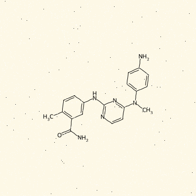 Cc1ccc(Nc2nccc(N(C)c3ccc(N)cc3)n2)cc1C(N)=O